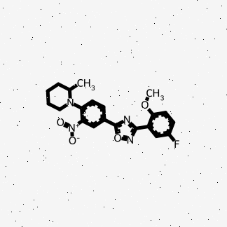 COc1ccc(F)cc1-c1noc(-c2ccc(N3CCCCC3C)c([N+](=O)[O-])c2)n1